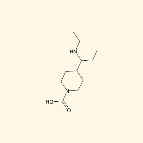 CCNC(CC)C1CCN(C(=O)O)CC1